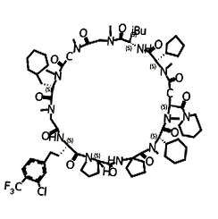 CC[C@H](C)[C@@H]1NC(=O)[C@H](C2CCCC2)N(C)C(=O)C[C@@H](C(=O)N2CCCCC2)N(C)C(=O)[C@H](C2CCCCC2)N(C)C(=O)C2(CCCC2)NC(=O)[C@@H]2CCCN2C(=O)[C@H](CCc2ccc(C(F)(F)F)c(Cl)c2)NC(=O)CN(C)C(=O)[C@H](CC2CCCCC2)N(C)C(=O)CN(C)C(=O)CN(C)C1=O